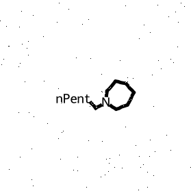 [CH2]CCCCCN1CCCCCC1